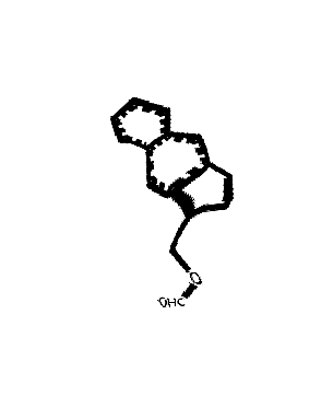 O=[C]OCC1C=Cc2cc3ccccc3cc21